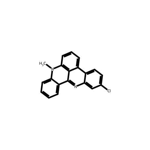 CN1c2ccccc2-c2nc3cc(Cl)ccc3c3cccc1c23